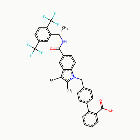 Cc1c(C)n(Cc2ccc(-c3ccccc3C(=O)O)cc2)c2ccc(C(=O)N[C@@H](C)c3cc(C(F)(F)F)ccc3C(F)(F)F)cc12